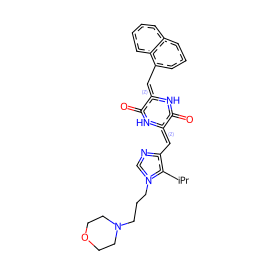 CC(C)c1c(/C=c2\[nH]c(=O)/c(=C/c3cccc4ccccc34)[nH]c2=O)ncn1CCCN1CCOCC1